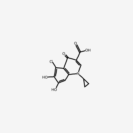 O=C(O)c1cn(C2CC2)c2cc(O)c(O)c(Cl)c2c1=O